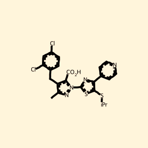 Cc1nn(-c2nc(-c3ccncc3)c(SC(C)C)s2)c(C(=O)O)c1Cc1ccc(Cl)cc1Cl